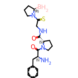 B[C@@H]1CCCN1C(=S)CNC(=O)[C@@H]1CCCN1C(=O)[C@@H](N)Cc1ccccc1